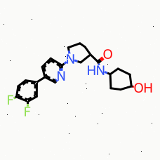 O=C(NC1CCC(O)CC1)C1CCCN(c2ccc(-c3ccc(F)c(F)c3)cn2)C1